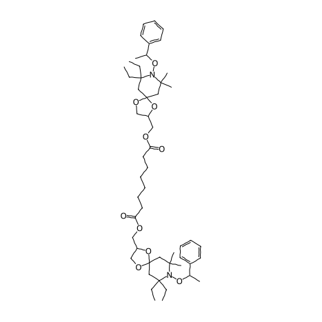 CCC1(CC)CC2(CC(C)(C)N1OC(C)c1ccccc1)OCC(COC(=O)CCCCCCC(=O)OCC1COC3(CC(C)(C)N(OC(C)c4ccccc4)C(CC)(CC)C3)O1)O2